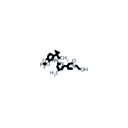 C=C(Nc1cc(C)cc(-c2ccn(CCO)c(=O)c2)n1)C1(c2ccc3c(c2)OC(F)(F)O3)CC1